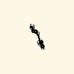 CCO/N=C1\CCc2cc(OCCCCCN3CCN(c4ccncc4)S3(=O)=O)ccc21